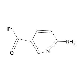 CC(C)C(=O)c1ccc(N)nc1